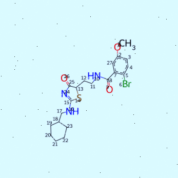 COc1ccc(Br)c(C(=O)NCCC2SC(NCC3CCCCC3)=NC2=O)c1